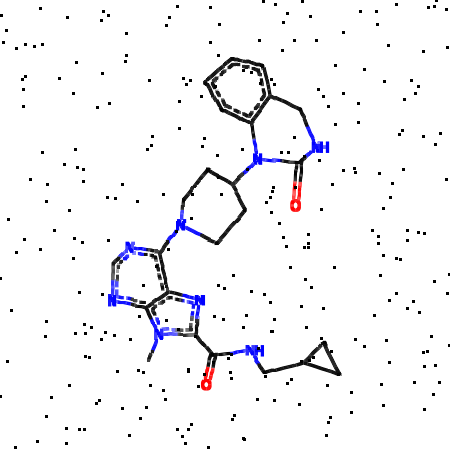 Cn1c(C(=O)NCC2CC2)nc2c(N3CCC(N4C(=O)NCc5ccccc54)CC3)ncnc21